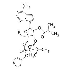 CC(C)C(=O)O[C@H]1[C@H](c2ccc3c(N)ncnn23)O[C@](CF)(COP(C)(=O)Oc2ccccc2)[C@H]1OC(=O)C(C)C